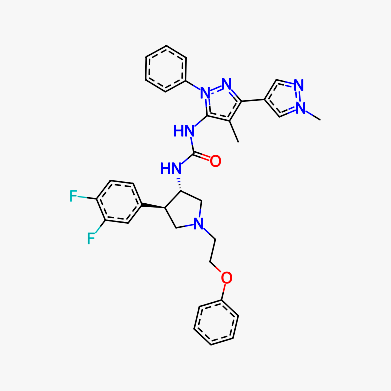 Cc1c(-c2cnn(C)c2)nn(-c2ccccc2)c1NC(=O)N[C@@H]1CN(CCOc2ccccc2)C[C@H]1c1ccc(F)c(F)c1